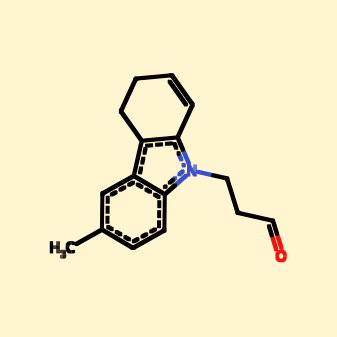 Cc1ccc2c(c1)c1c(n2CCC=O)C=CCC1